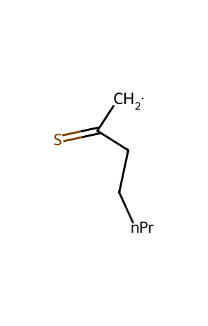 [CH2]C(=S)CCCCC